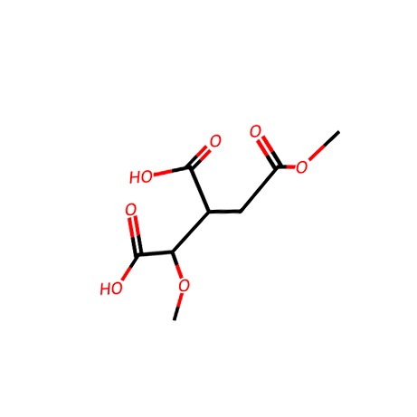 COC(=O)CC(C(=O)O)C(OC)C(=O)O